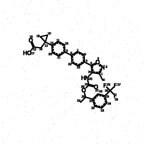 Cc1noc(-c2ccc(-c3ccc(C4(CC(=O)O)CC4)cc3)cc2)c1NC(=O)OC(C)c1cccc(C(F)(F)F)c1